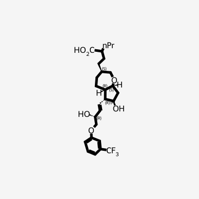 CCCC(CC[C@@H]1CC[C@@H]2[C@@H](C=C[C@@H](O)COc3cccc(C(F)(F)F)c3)[C@H](O)C[C@@H]2OC1)C(=O)O